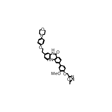 COc1cc(-c2ccc3c(c2)Nc2ccc(CCOc4ccc(N5CCOCC5)cc4)cc2NC3=O)ccc1OCc1nnc(C)o1